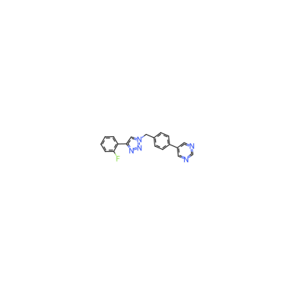 Fc1ccccc1-c1cn(Cc2ccc(-c3cncnc3)cc2)nn1